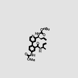 C=CC[C@H](NC(=O)OCCCC)c1cc(-c2ccc(NC(=O)OC)cc2C(=O)NC(C)C=C)ccn1